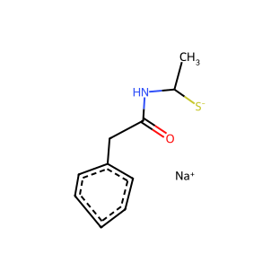 CC([S-])NC(=O)Cc1ccccc1.[Na+]